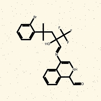 CC(C)(CC(O)(C=NC1=CNC(C=O)c2ccccc21)C(F)(F)F)c1ccccc1Br